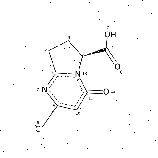 O=C(O)[C@@H]1CCc2nc(Cl)cc(=O)n21